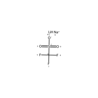 O=S(=O)([O-])C(F)(F)F.[LiH].[Na+]